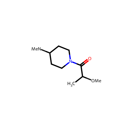 CNC1CCN(C(=O)C(C)OC)CC1